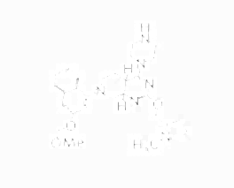 COCOc1cc(N2CC[C@@H]3C(N4CCNCC4)=NC(OC[C@@H]4CCCN4C)=N[C@@H]3C2)c2ccccc2c1